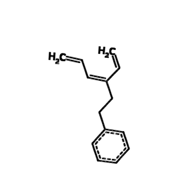 C=CC=C(C=C)CCc1ccccc1